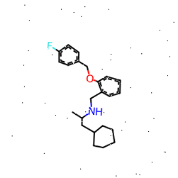 CC(CC1CCCCC1)NCc1ccccc1OCc1ccc(F)cc1